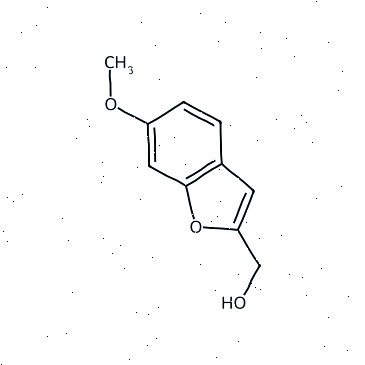 COc1ccc2cc(CO)oc2c1